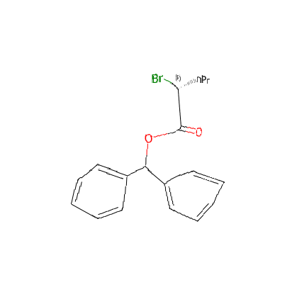 CCC[C@@H](Br)C(=O)OC(c1ccccc1)c1ccccc1